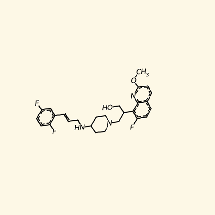 COc1ccc2ccc(F)c(C(CO)CN3CCC(NCC=Cc4cc(F)ccc4F)CC3)c2n1